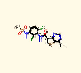 CCCS(=O)(=O)Nc1ccc(F)c(NC(=O)C2CSc3c(C)ncnc32)c1F